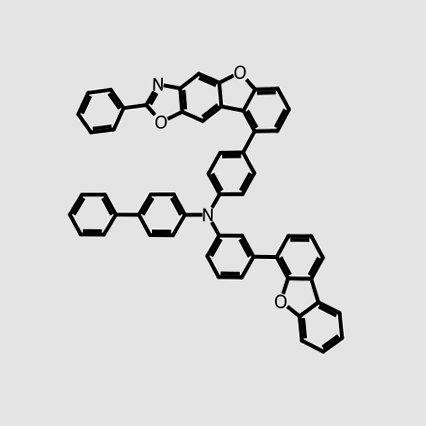 c1ccc(-c2ccc(N(c3ccc(-c4cccc5oc6cc7nc(-c8ccccc8)oc7cc6c45)cc3)c3cccc(-c4cccc5c4oc4ccccc45)c3)cc2)cc1